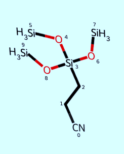 N#CCC[Si](O[SiH3])(O[SiH3])O[SiH3]